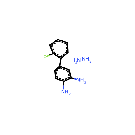 N.N.Nc1ccc(-c2ccccc2F)cc1N